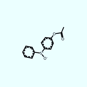 CC(=O)Oc1ccc([S+]([O-])c2ccccc2)cc1